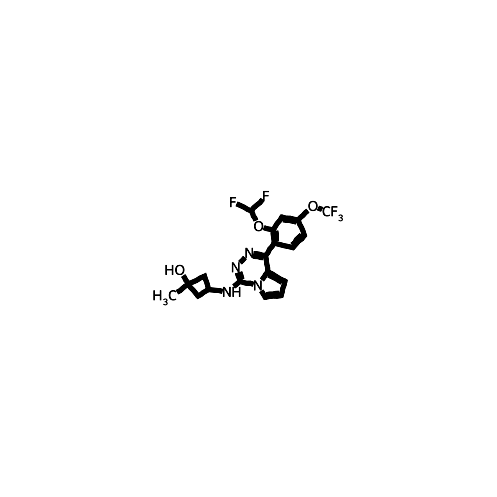 CC1(O)CC(Nc2nnc(-c3ccc(OC(F)(F)F)cc3OC(F)F)c3cccn23)C1